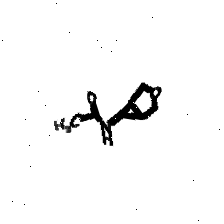 CC(=O)NC1C2COCC21